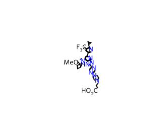 COCC1(CN(C)c2cc(-c3cnc(C4CC4)c(C(F)(F)F)c3)nc3nc(-c4cnc(N5CCN(CCCC(=O)O)CC5)cn4)[nH]c23)CCC1